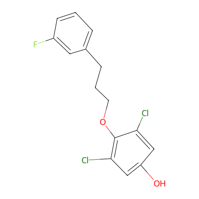 Oc1cc(Cl)c(OCCCc2cccc(F)c2)c(Cl)c1